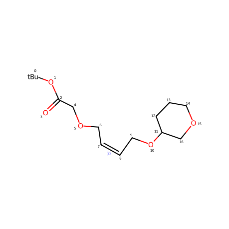 CC(C)(C)OC(=O)COC/C=C\COC1CCCOC1